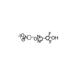 CC(C)(C)OC(=O)N1CCC(COc2ncc(-c3cc(F)c(O)c(F)c3)cn2)CC1